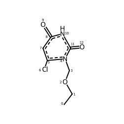 CCOCn1c(Cl)cc(=O)[nH]c1=O